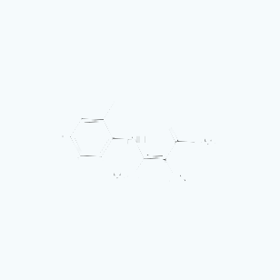 COC(=O)C(C#N)=C(Nc1ccccc1C)SC